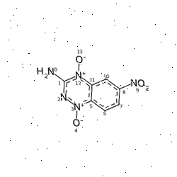 Nc1n[n+]([O-])c2ccc([N+](=O)[O-])cc2[n+]1[O-]